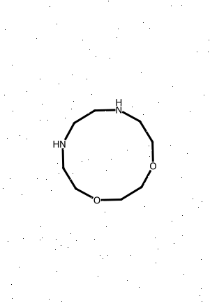 C1CNCCOCCOCCN1